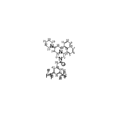 CN(CC(c1cccc2ccccc12)N1CCC(N2CCCCC2)CC1)C(=O)Cc1cc(C(F)(F)F)cc(C(F)(F)F)c1